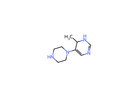 CC1N[C]=NC=C1N1CCNCC1